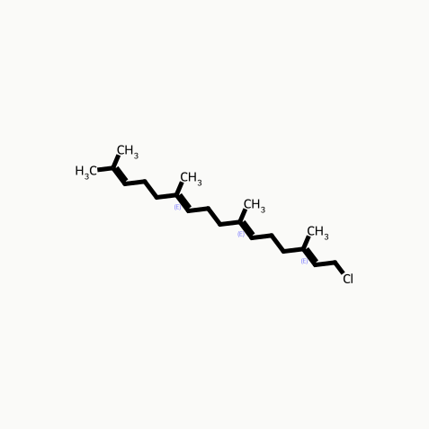 CC(C)=CCC/C(C)=C/CC/C(C)=C/CC/C(C)=C/CCl